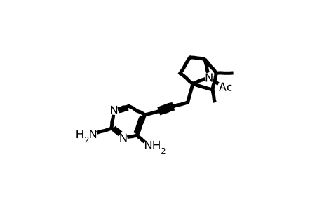 CC(=O)N1C2CCC1(CC#Cc1cnc(N)nc1N)C(C)C2C